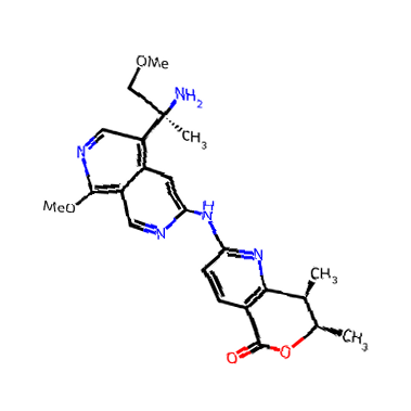 COC[C@@](C)(N)c1cnc(OC)c2cnc(Nc3ccc4c(n3)[C@@H](C)[C@@H](C)OC4=O)cc12